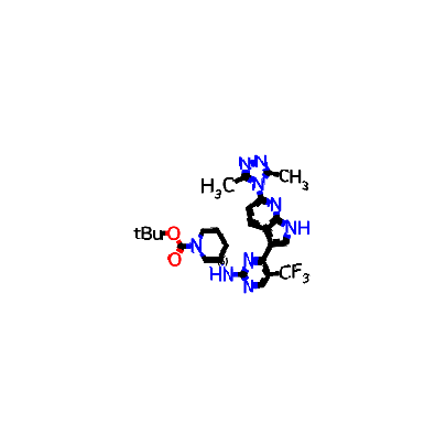 Cc1nnc(C)n1-c1ccc2c(-c3nc(N[C@H]4CCCN(C(=O)OC(C)(C)C)C4)ncc3C(F)(F)F)c[nH]c2n1